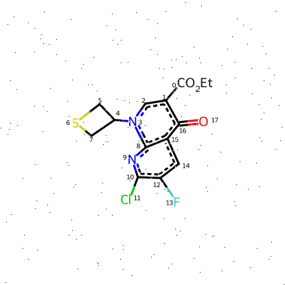 CCOC(=O)c1cn(C2CSC2)c2nc(Cl)c(F)cc2c1=O